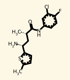 Cc1ccc([C@H](N)C[C@H](C)C(=O)Nc2ccc(F)c(Cl)c2)s1